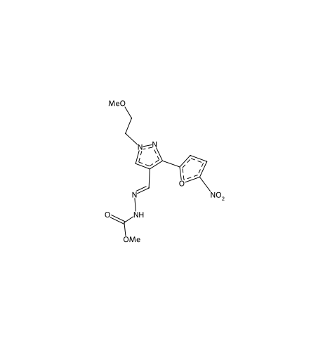 COCCn1cc(C=NNC(=O)OC)c(-c2ccc([N+](=O)[O-])o2)n1